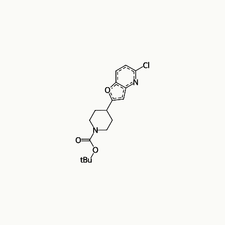 CC(C)(C)OC(=O)N1CCC(c2cc3nc(Cl)ccc3o2)CC1